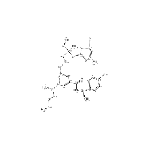 COOSN(C)c1cc(COCC(N)(CO)Cc2cc(C)cc(F)c2)cc(C(=O)N[C@H](C)c2ccc(F)cc2)c1